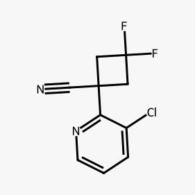 N#CC1(c2ncccc2Cl)CC(F)(F)C1